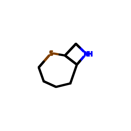 C1CCC2NCC2SC1